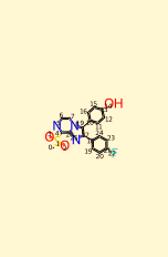 CS(=O)(=O)c1nccn2c(-c3ccc(O)cc3)c(-c3ccc(F)cc3)nc12